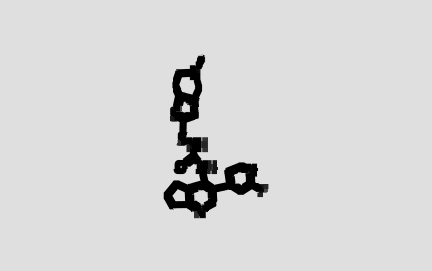 CN1CCc2sc(SNC(=O)Nc3c(-c4ccnc(F)c4)cnc4c3CCC4)cc2C1